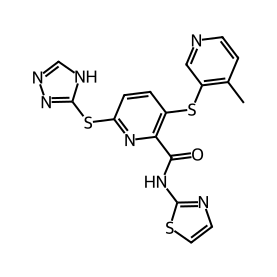 Cc1ccncc1Sc1ccc(Sc2nnc[nH]2)nc1C(=O)Nc1nccs1